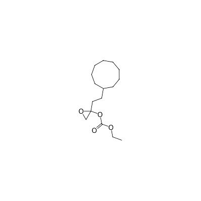 CCOC(=O)OC1(CCC2CCCCCCCC2)CO1